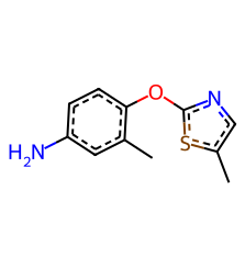 Cc1cnc(Oc2ccc(N)cc2C)s1